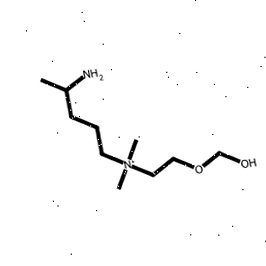 CC(N)CCC[N+](C)(C)CCOCO